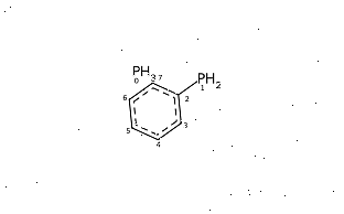 P.Pc1ccccc1